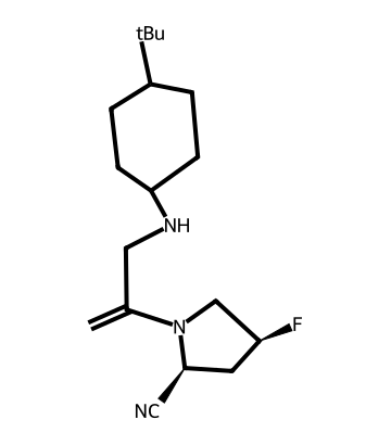 C=C(CNC1CCC(C(C)(C)C)CC1)N1C[C@@H](F)C[C@H]1C#N